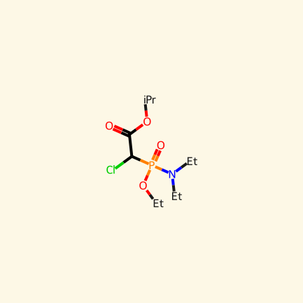 CCOP(=O)(C(Cl)C(=O)OC(C)C)N(CC)CC